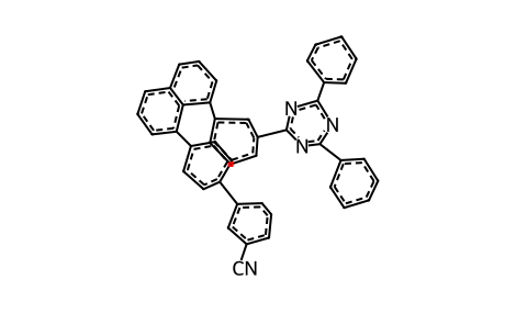 N#Cc1cccc(-c2ccc(-c3cccc4cccc(-c5cccc(-c6nc(-c7ccccc7)nc(-c7ccccc7)n6)c5)c34)cc2)c1